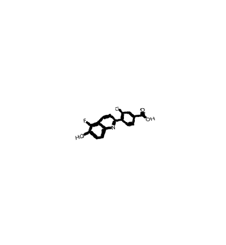 O=C(O)c1ccc(-c2ccc3c(F)c(O)ccc3n2)c(Cl)c1